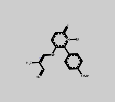 CCn1c(-c2ccc(OC)cc2)c(N/C=C(/C)C=N)ccc1=O